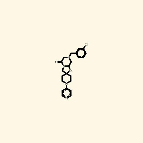 O=C1CN(Cc2cccc(Cl)c2)CC2OC3(CCN(c4ccncc4)CC3)CN12